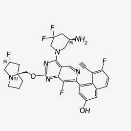 C#Cc1c(F)ccc2cc(O)cc(-c3ncc4c(N5C[C@H](N)CC(F)(F)C5)nc(OC[C@@]56CCCN5C[C@H](F)C6)nc4c3F)c12